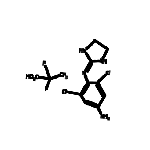 Nc1cc(Cl)c(N=C2NCCN2)c(Cl)c1.O=C(O)C(F)(F)C(F)(F)F